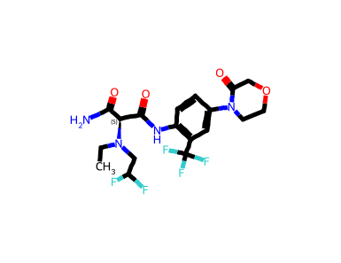 CCN(CC(F)F)[C@@H](C(N)=O)C(=O)Nc1ccc(N2CCOCC2=O)cc1C(F)(F)F